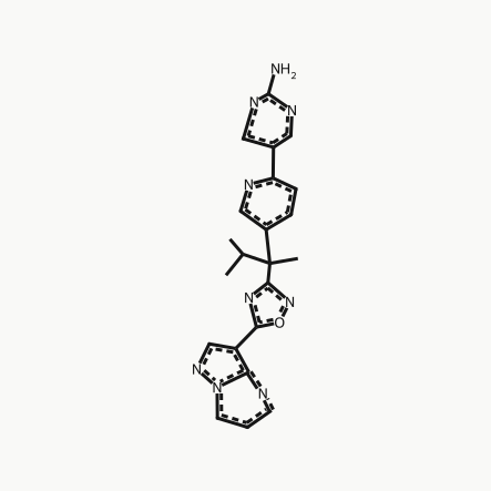 CC(C)C(C)(c1ccc(-c2cnc(N)nc2)nc1)c1noc(-c2cnn3cccnc23)n1